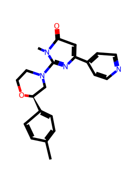 Cc1ccc([C@@H]2CN(c3nc(-c4ccncc4)cc(=O)n3C)CCO2)cc1